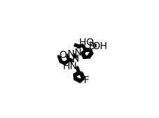 CC1Cc2c(B(O)O)cccc2N1c1nc(NCc2cccc(F)c2)c2c(n1)OCCC2